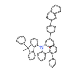 CC1(c2ccccc2)c2ccccc2-c2c(N(c3cccc(-c4ccc(-c5ccc6ccccc6c5)cc4)c3)c3ccccc3-c3ccccc3-c3ccccc3)cccc21